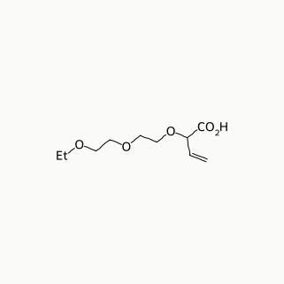 C=CC(OCCOCCOCC)C(=O)O